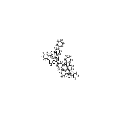 C=C(/N=C(\N=C(/C)c1ccccc1)c1ccc(-c2ccccc2)cc1)c1cccc(-n2c3ccccc3c3ccc4c(c32)-c2ccccc2C4(C)C)c1